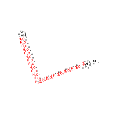 O.O.O.O.O.O.O.O.O.O.O.O.O.O.O.O.O.O.O.O.O.O.O.O.O.[AlH3].[AlH3].[AlH3].[AlH3].[AlH3]